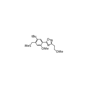 COCCc1noc(-c2cc(C(C)(C)C)c(CSC)cc2OC)n1